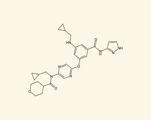 O=C(Nc1cc[nH]n1)c1cc(NCC2CC2)cc(Oc2cnc(N(CC3CC3)C(=O)C3CCOCC3)cn2)c1